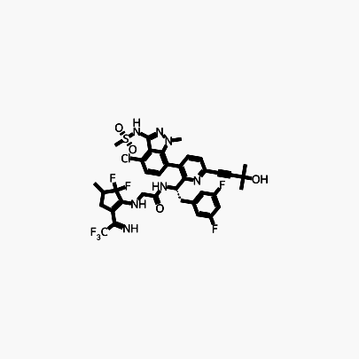 CC1CC(C(=N)C(F)(F)F)=C(NCC(=O)N[C@@H](Cc2cc(F)cc(F)c2)c2nc(C#CC(C)(C)O)ccc2-c2ccc(Cl)c3c(NS(C)(=O)=O)nn(C)c23)C1(F)F